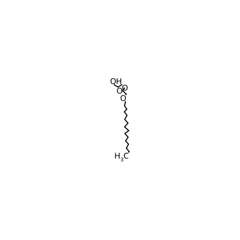 CCCCCCCCCCCCCCCCOCC1OCC(CO)O1